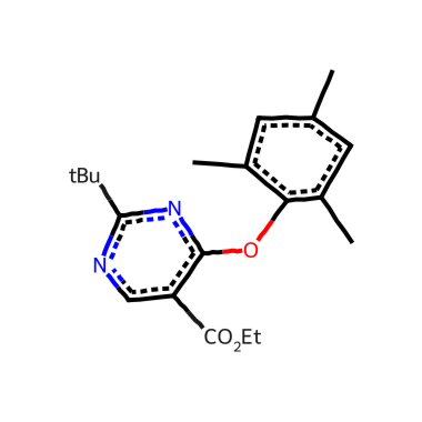 CCOC(=O)c1cnc(C(C)(C)C)nc1Oc1c(C)cc(C)cc1C